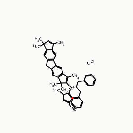 CC1=CC(C)(C)c2cc3c(cc21)-c1cc2c(cc1C3)C(C)(C)[C]([Zr+2]([C]1=CC(C(C)(C)C)=CC1C)=[C](Cc1ccccc1)Cc1ccccc1)=C2C.[Cl-].[Cl-]